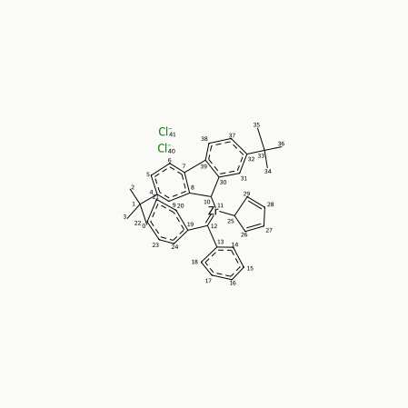 CC(C)(C)c1ccc2c(c1)[CH]([Zr](=[C](c1ccccc1)c1ccccc1)[CH]1C=CC=C1)c1cc(C(C)(C)C)ccc1-2.[Cl-].[Cl-]